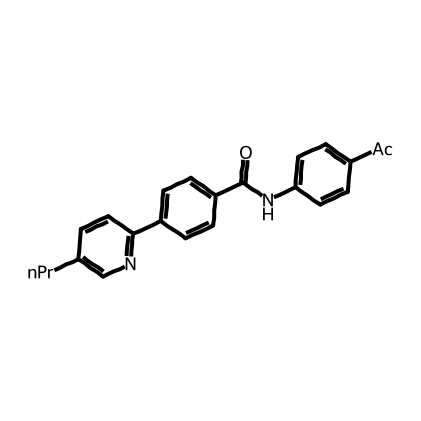 CCCc1ccc(-c2ccc(C(=O)Nc3ccc(C(C)=O)cc3)cc2)nc1